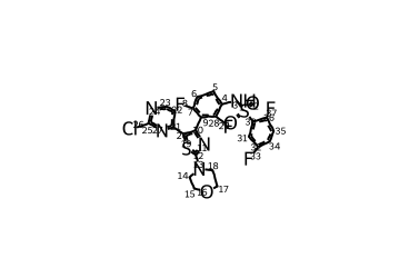 O=S(=O)(Nc1ccc(F)c(-c2nc(N3CCOCC3)sc2-c2ccnc(Cl)n2)c1F)c1cc(F)ccc1F